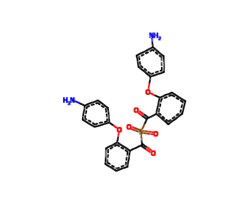 Nc1ccc(Oc2ccccc2C(=O)S(=O)(=O)C(=O)c2ccccc2Oc2ccc(N)cc2)cc1